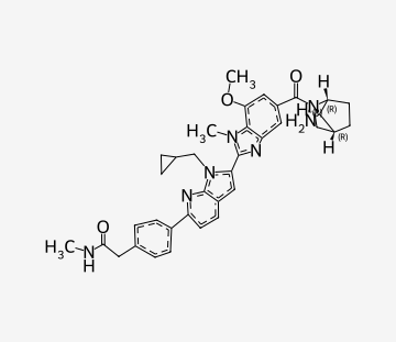 CNC(=O)Cc1ccc(-c2ccc3cc(-c4nc5cc(C(=O)N6C[C@H]7CC[C@@H]6[C@@H]7N)cc(OC)c5n4C)n(CC4CC4)c3n2)cc1